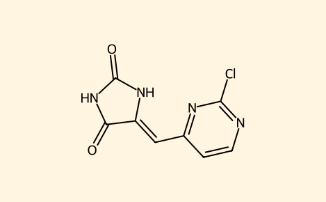 O=C1NC(=O)C(=Cc2ccnc(Cl)n2)N1